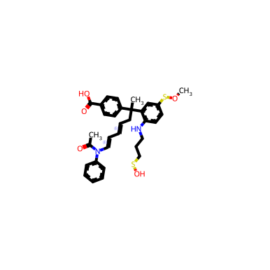 COSc1ccc(NCCCSO)c(C(C)(C/C=C/C=C/N(C(C)=O)c2ccccc2)c2ccc(C(=O)O)cc2)c1